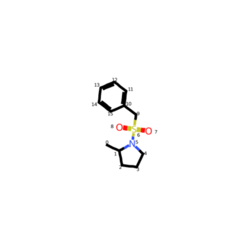 CC1CCCN1S(=O)(=O)Cc1ccccc1